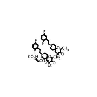 CCN1CC2(CCN(CCc3cc(F)ccc3F)CC2)OC(C)C1=O.CCN1CC2(CCN(CCc3cc(F)ccc3F)CC2)OC(C)C1=O.O=C(O)/C=C\C(=O)O